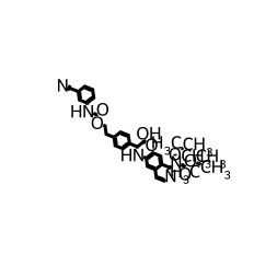 CC(C)(C)OC(=O)N(OC(C)(C)C)c1nccc2cc(NC(C(=O)O)c3ccc(CCOC(=O)Nc4cccc(C#N)c4)cc3)ccc12